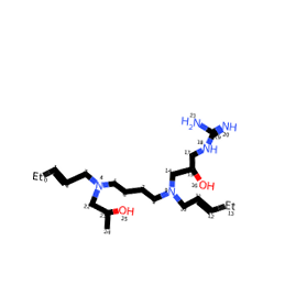 CCC=CCN(CCCCN(CC=CCC)CC(O)CNC(=N)N)CC(C)O